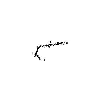 O=C(NCCSCC/N=C/OOCSCSCO)OCCSCCOO/C=N\CCSCCNC(=O)OCSCSCO